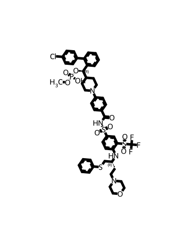 COP(=O)(O)O[C@@H](c1ccccc1-c1ccc(Cl)cc1)C1CCN(c2ccc(C(=O)NS(=O)(=O)c3ccc(N[C@H](CCN4CCOCC4)CSc4ccccc4)c(S(=O)(=O)C(F)(F)F)c3)cc2)CC1